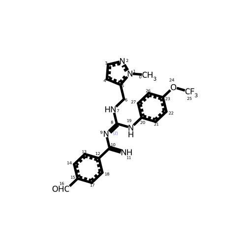 Cn1nccc1CN/C(=N/C(=N)c1ccc(C=O)cc1)Nc1ccc(OC(F)(F)F)cc1